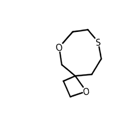 C1CSCCC2(CCO2)CO1